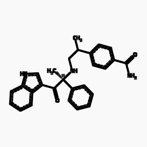 CC(CN[C@](C)(C(=O)c1c[nH]c2ccccc12)c1ccccc1)c1ccc(C(N)=O)cc1